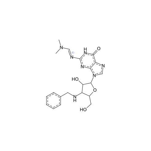 CN(C)/C=N/c1nc2c(ncn2C2OC(CO)C(NCc3ccccc3)C2O)c(=O)[nH]1